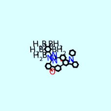 Bc1c(B)c(B)c(-c2nc(-c3ccccc3)nc(-c3cccc4oc5ccc(-c6ccc7c(c6)c6ccccc6n7-c6ccccc6)cc5c34)n2)c(B)c1B